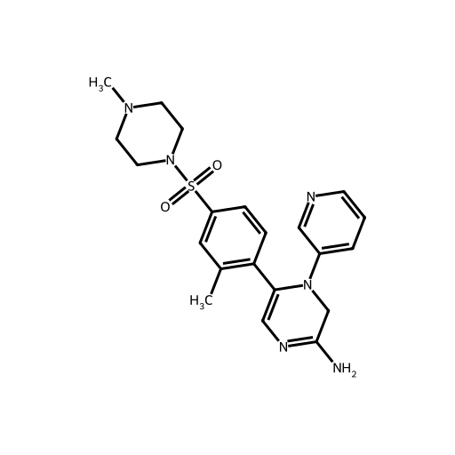 Cc1cc(S(=O)(=O)N2CCN(C)CC2)ccc1C1=CN=C(N)CN1c1cccnc1